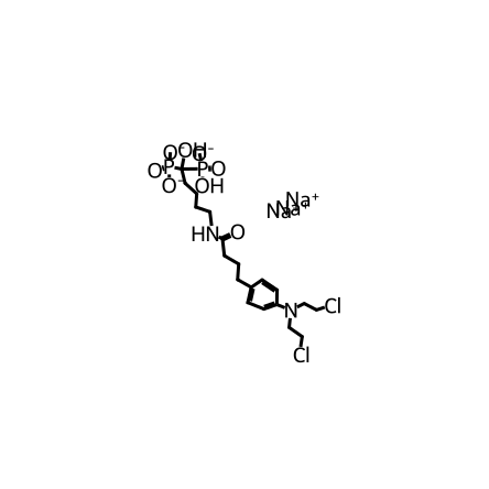 O=C(CCCc1ccc(N(CCCl)CCCl)cc1)NCCCCC(O)(P(=O)([O-])[O-])P(=O)([O-])O.[Na+].[Na+].[Na+]